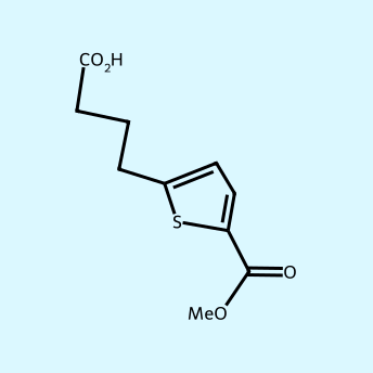 COC(=O)c1ccc(CCCC(=O)O)s1